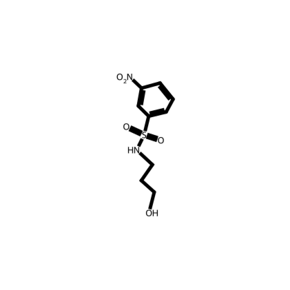 O=[N+]([O-])c1cccc(S(=O)(=O)NCCCO)c1